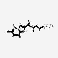 CCOC(=O)CCNC(=O)c1cn2nc(Cl)ccc2n1